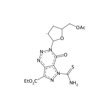 CCOC(=O)c1nn(C(N)=S)c2c(=O)n(C3[CH][CH]C(COC(C)=O)O3)nnc12